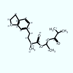 CC(OC(=O)C(C)C)OC(=O)N(C)CCc1ccc2c(c1)OCC2